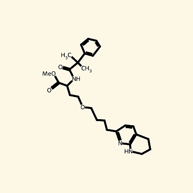 COC(=O)C(CCOCCCCc1ccc2c(n1)NCCC2)NC(=O)C(C)(C)c1ccccc1